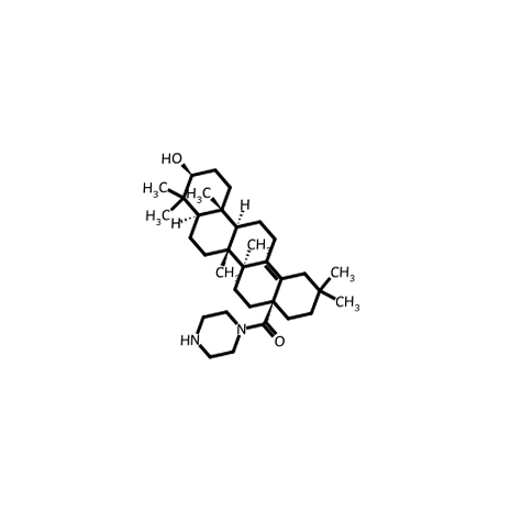 CC1(C)CC[C@]2(C(=O)N3CCNCC3)CC[C@]3(C)C(=C2C1)CC[C@@H]1[C@@]2(C)CC[C@H](O)C(C)(C)[C@@H]2CC[C@]13C